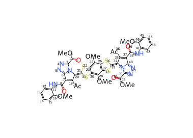 COC(=O)c1nnc2c(C(=O)Nc3ccccc3OC)c(C(C)=O)c(=C3Sc4c(OC)c5c(c(OC)c4S3)SC(=c3c(C(C)=O)c(C(=O)Nc4ccccc4OC)c4nnc(C(=O)OC)n34)S5)n12